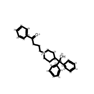 O=C(CCCN1CCC(C(O)(c2ccccc2)c2ccccc2)CC1)c1ccccc1